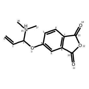 C=CC(Oc1ccc2c(c1)C(=O)OC2=O)[SiH](C)C